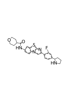 O=C(Nc1ccc2c(c1)sc1nc(-c3ccc(C4CCCN4)cc3F)cn12)C1CCOCC1